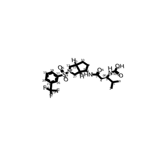 CC(C)[C@@H](CC(=O)N[C@@H]1CC[C@H]2CN(S(=O)(=O)c3cccc(C(F)(F)F)c3)C[C@H]21)NC(=O)O